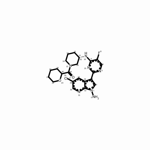 Nn1cc(-c2ncc(F)c(N[C@H]3CCCN(C(=O)C4CCCCO4)C3)n2)c2cc(Cl)cnc21